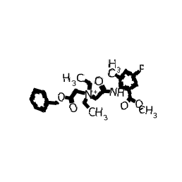 CC[N+](CC)(CC(=O)Nc1c(C)cc(F)cc1C(=O)OC)CC(=O)OCc1ccccc1